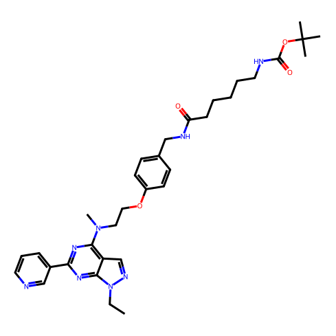 CCn1ncc2c(N(C)CCOc3ccc(CNC(=O)CCCCCNC(=O)OC(C)(C)C)cc3)nc(-c3cccnc3)nc21